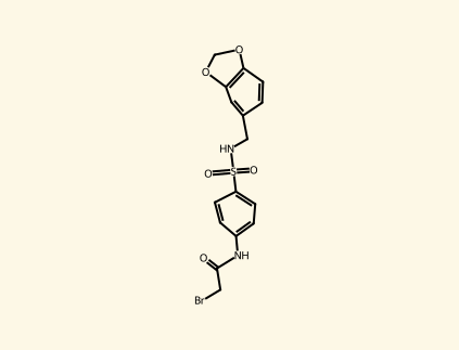 O=C(CBr)Nc1ccc(S(=O)(=O)NCc2ccc3c(c2)OCO3)cc1